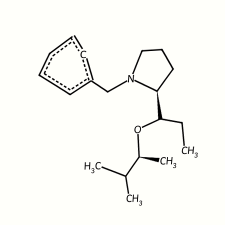 CCC(O[C@@H](C)C(C)C)[C@@H]1CCCN1Cc1ccccc1